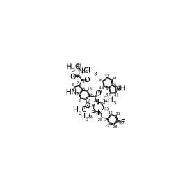 COc1cc2[nH]cc(C(=O)C(=O)N(C)C)c2cc1C(=O)N1C[C@H](C)N(Cc2ccc(F)cc2)C[C@H]1C.c1ccc2[nH]ccc2c1